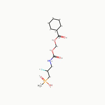 CP(=O)(O)CC(F)CNC(=O)OCOC(=O)C1CCCCC1